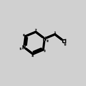 ClCN1C=CN=CC1